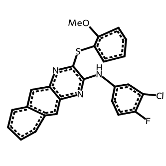 COc1ccccc1Sc1nc2cc3ccccc3cc2nc1Nc1ccc(F)c(Cl)c1